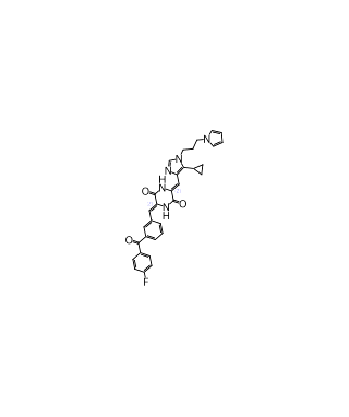 O=C(c1ccc(F)cc1)c1cccc(/C=c2\[nH]c(=O)/c(=C/c3ncn(CCCn4cccc4)c3C3CC3)[nH]c2=O)c1